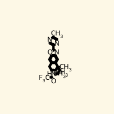 Cc1cnc(-c2nc3cc4c(cc3o2)C[C@H]2N(C(=O)C(F)(F)F)CC[C@]4(C)C2(C)C)cn1